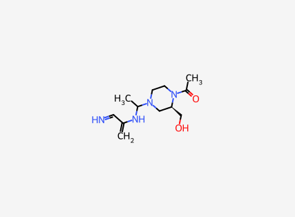 C=C(C=N)NC(C)N1CCN(C(C)=O)[C@@H](CO)C1